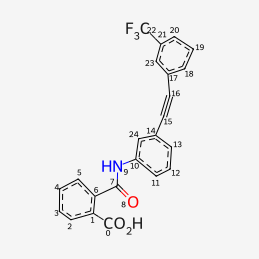 O=C(O)c1ccccc1C(=O)Nc1cccc(C#Cc2cccc(C(F)(F)F)c2)c1